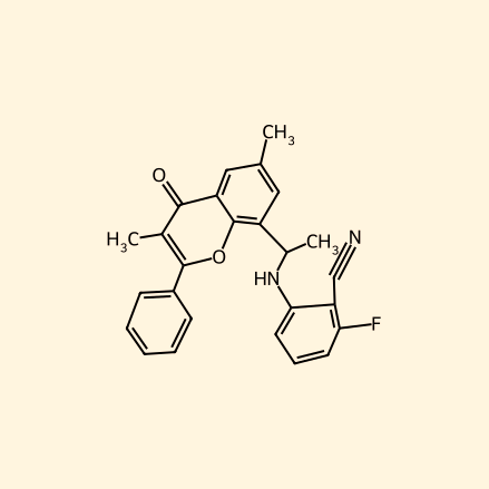 Cc1cc(C(C)Nc2cccc(F)c2C#N)c2oc(-c3ccccc3)c(C)c(=O)c2c1